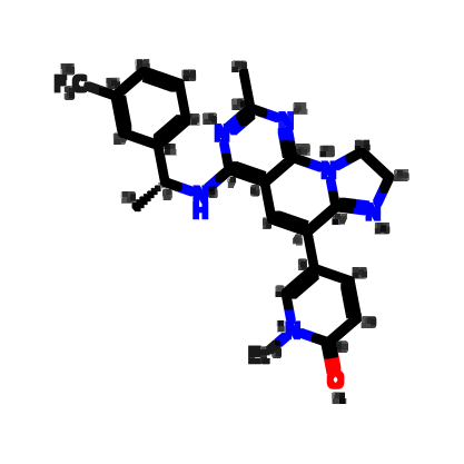 CCn1cc(C2=Cc3c(N[C@H](C)c4cccc(C(F)(F)F)c4)nc(C)nc3N3CCN=C23)ccc1=O